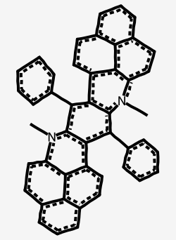 Cn1c2ccc3cccc4ccc(c5c(-c6ccccc6)c6c(c(-c7ccccc7)c51)c1ccc5cccc7ccc(c1c57)n6C)c2c43